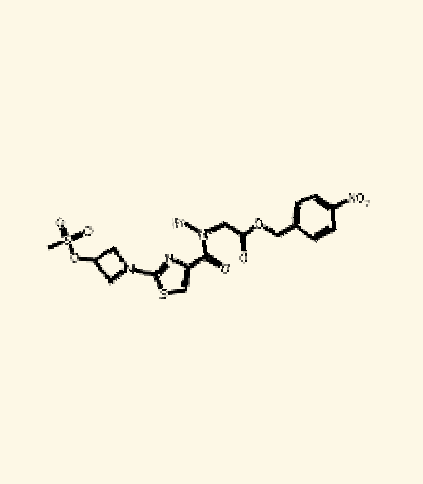 CC(C)N(CC(=O)OCc1ccc([N+](=O)[O-])cc1)C(=O)c1csc(N2CC(OS(C)(=O)=O)C2)n1